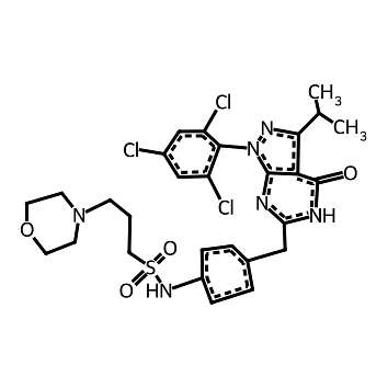 CC(C)c1nn(-c2c(Cl)cc(Cl)cc2Cl)c2nc(Cc3ccc(NS(=O)(=O)CCCN4CCOCC4)cc3)[nH]c(=O)c12